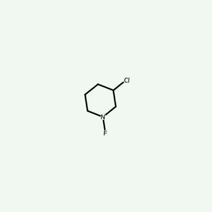 FN1CCCC(Cl)C1